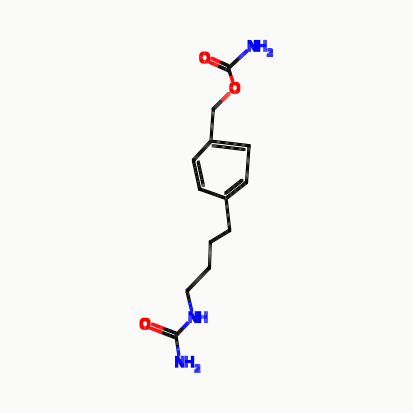 NC(=O)NCCCCc1ccc(COC(N)=O)cc1